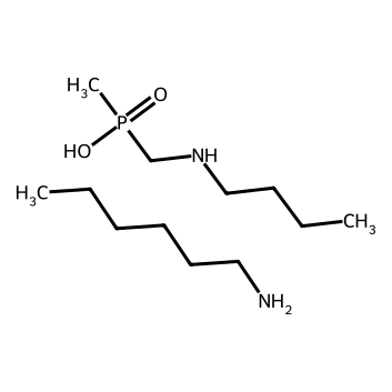 CCCCCCN.CCCCNCP(C)(=O)O